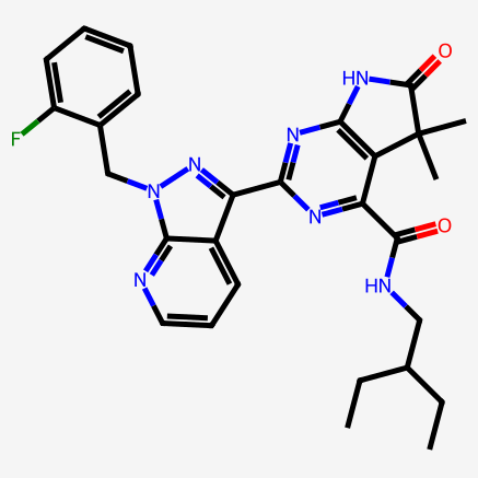 CCC(CC)CNC(=O)c1nc(-c2nn(Cc3ccccc3F)c3ncccc23)nc2c1C(C)(C)C(=O)N2